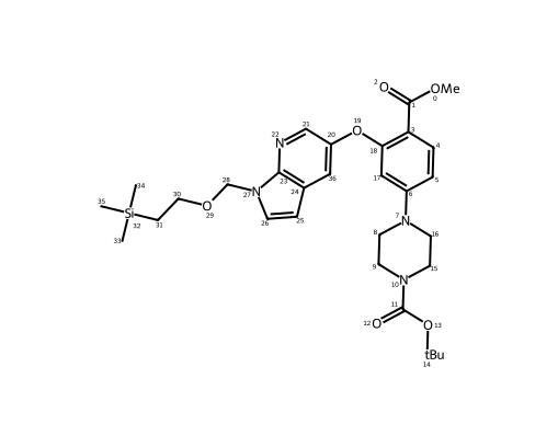 COC(=O)c1ccc(N2CCN(C(=O)OC(C)(C)C)CC2)cc1Oc1cnc2c(ccn2COCC[Si](C)(C)C)c1